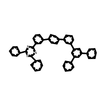 c1ccc(-c2cc(-c3ccccc3)cc(-c3cccc(-c4ccc(-c5cccc(-c6nc(-c7ccccc7)nc(-c7ccccc7)n6)c5)cc4)c3)c2)cc1